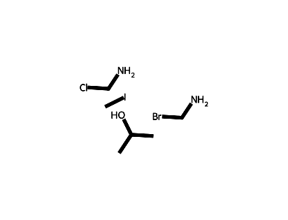 CC(C)O.CI.NCBr.NCCl